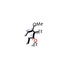 C=C/C(OCC)=C(CC)\C(=C/C)OC